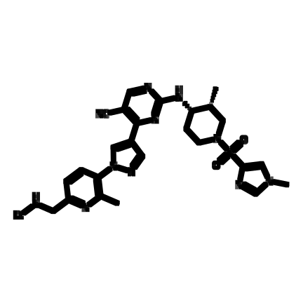 CCNCc1ccc(-n2cc(-c3nc(N[C@H]4CCN(S(=O)(=O)c5cn(C)cn5)C[C@H]4C)ncc3C#N)cn2)c(C)n1